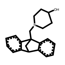 OC1CCN(CC23CC(c4ccccc42)c2ccccc23)CC1